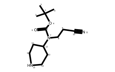 CC(C)(C)OC(=O)N(CCC#N)C1CCNCC1